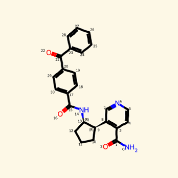 NC(=O)c1ccncc1[C@H]1CCC[C@H]1NC(=O)c1ccc(C(=O)c2ccccc2)cc1